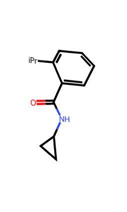 CC(C)c1ccccc1C(=O)NC1CC1